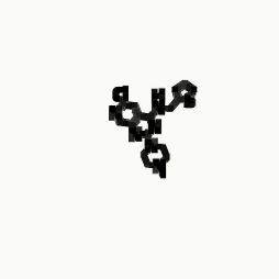 CN1CCN(c2nc(NCc3cccs3)c3cc(Cl)ncc3n2)CC1